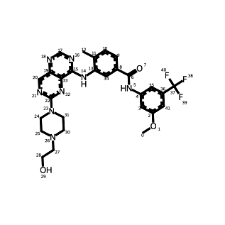 COc1cc(NC(=O)c2ccc(C)c(Nc3ncnc4cnc(N5CCN(CCO)CC5)nc34)c2)cc(C(F)(F)F)c1